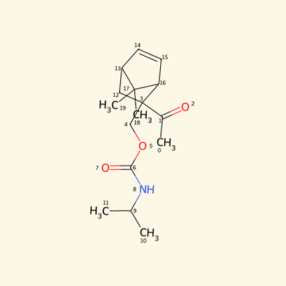 CC(=O)C1(COC(=O)NC(C)C)CC2C=CC1C2(C)C